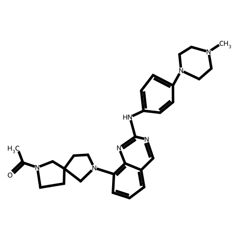 CC(=O)N1CCC2(CCN(c3cccc4cnc(Nc5ccc(N6CCN(C)CC6)cc5)nc34)C2)C1